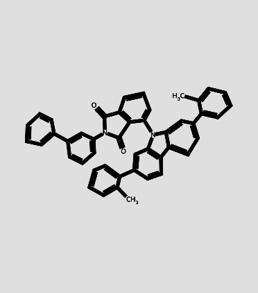 Cc1ccccc1-c1ccc2c3ccc(-c4ccccc4C)cc3n(-c3cccc4c3C(=O)N(c3cccc(-c5ccccc5)c3)C4=O)c2c1